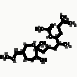 C=C(C)CCC(OC(C)=O)C(C)CCCC1(C)OC/C(=N/OC)CCC1O